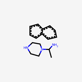 CC(N)N1CCNCC1.c1ccc2ccccc2c1